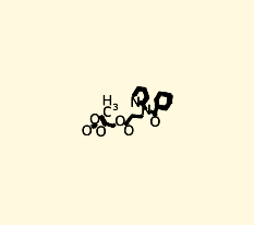 Cc1oc(=O)oc1COC(=O)CCN(C(=O)c1cc#ccc1)c1ccccn1